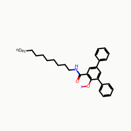 CCCCCCCCCCCCCCCCCCNC(=O)c1cc(-c2ccccc2)cc(-c2ccccc2)c1OI